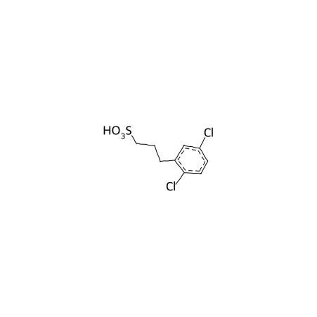 O=S(=O)(O)CCCc1cc(Cl)ccc1Cl